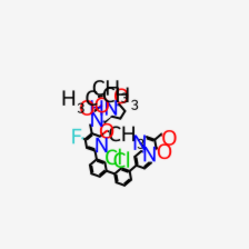 COc1nc(-c2cccc(-c3cccc(-c4ccn5c(=O)c(C=O)cnc5c4)c3Cl)c2Cl)cc(F)c1CN(C[C@@H]1CCC(=O)N1)C(=O)OC(C)(C)C